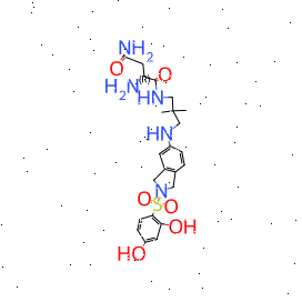 CC(C)(CNC(=O)[C@H](N)CC(N)=O)CNc1ccc2c(c1)CN(S(=O)(=O)c1ccc(O)cc1O)C2